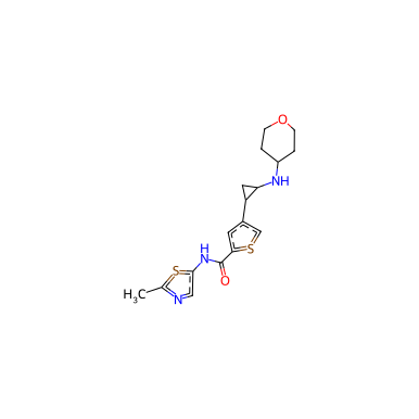 Cc1ncc(NC(=O)c2cc(C3CC3NC3CCOCC3)cs2)s1